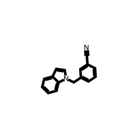 N#Cc1cccc(Cn2ccc3ccccc32)c1